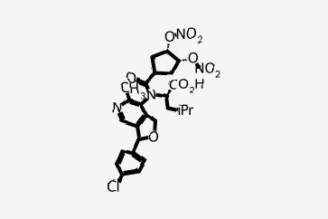 Cc1ncc2c(c1N(C(=O)C1C[C@H](O[N+](=O)[O-])[C@H](O[N+](=O)[O-])C1)[C@H](CC(C)C)C(=O)O)COC2c1ccc(Cl)cc1